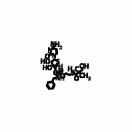 CC(C)(CO)C(=O)SCCOP(=O)(NCc1ccccc1)OC1[C@H]2S[C@@H](n3ccc(N)nc3=O)[C@@H](O)[C@@]12O